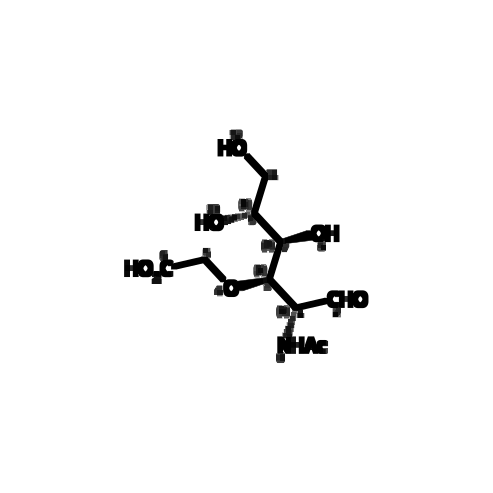 CC(=O)N[C@@H](C=O)[C@@H](OCC(=O)O)[C@H](O)[C@H](O)CO